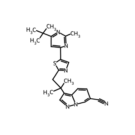 Cc1nc(-c2cnc(CC(C)(C)c3cnn4cc(C#N)ccc34)s2)cc(C(C)(C)C)n1